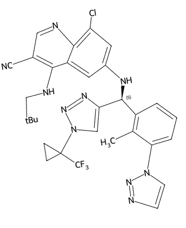 Cc1c([C@H](Nc2cc(Cl)c3ncc(C#N)c(NCC(C)(C)C)c3c2)c2cn(C3(C(F)(F)F)CC3)nn2)cccc1-n1ccnn1